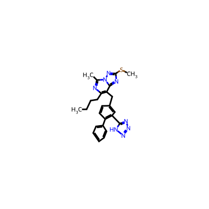 CCCCc1nc(C)n2nc(SC)nc2c1Cc1ccc(-c2ccccc2)c(-c2nnn[nH]2)c1